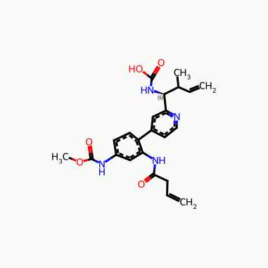 C=CCC(=O)Nc1cc(NC(=O)OC)ccc1-c1ccnc([C@@H](NC(=O)O)C(C)C=C)c1